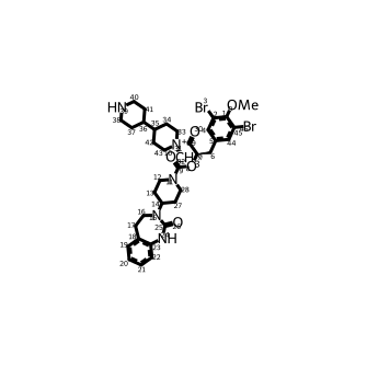 COc1c(Br)cc(C[C@@H](OC(=O)N2CCC(N3CCc4ccccc4NC3=O)CC2)C(=O)[N+]2(C)CCC(C3CCNCC3)CC2)cc1Br